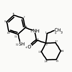 CCC1(C(=O)Nc2ccccc2S)CCCCC1